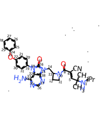 CC(C)NC(C)(C)C=C(C#N)C(=O)N1CCC1Cn1c(=O)n(-c2ccc(Oc3ccccc3)cc2)c2c(N)ncnc21